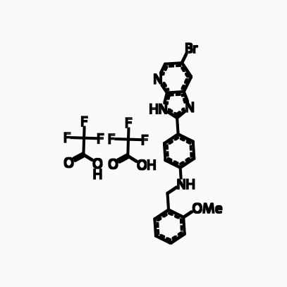 COc1ccccc1CNc1ccc(-c2nc3cc(Br)cnc3[nH]2)cc1.O=C(O)C(F)(F)F.O=C(O)C(F)(F)F